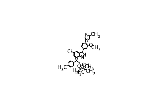 COc1cc(-c2nnc3n(C(CO[Si](C)(C)C(C)(C)C)c4ccc(C)cc4)cc(Cl)cc2-3)ccc1-n1cnc(C)c1